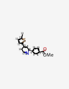 COC(=O)c1ccc([C@@H]2C=C(c3ccc(C)s3)CC=N2)cc1